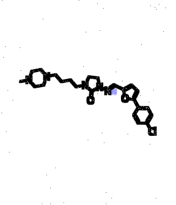 CN1CCN(CCCCN2CCN(/N=C/c3ccc(-c4ccc(Cl)cc4)o3)C2=O)CC1